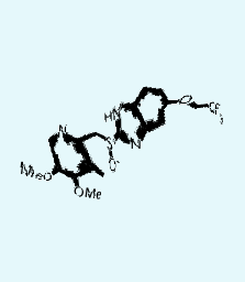 COc1cnc(C[S+]([O-])c2nc3cc(OCC(F)(F)F)ccc3[nH]2)c(C)c1OC